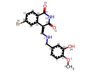 COc1ccc(CN/C=C2\C(=O)NC(=O)c3ccc(Br)cc32)cc1O